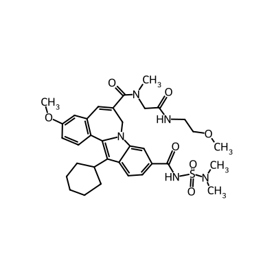 COCCNC(=O)CN(C)C(=O)C1=Cc2cc(OC)ccc2-c2c(C3CCCCC3)c3ccc(C(=O)NS(=O)(=O)N(C)C)cc3n2C1